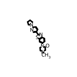 CN1CCN(c2ccc3nc(-c4ccc(N5CCCC5)nc4)sc3c2)C(=O)C1